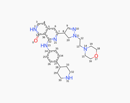 O=c1[nH]ccc2cc(C3C=NN(CCN4CCOCC4)C3)nc(Nc3ccc(C4CCNCC4)cc3)c12